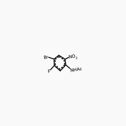 CC(=O)Nc1cc(F)c(Br)cc1[N+](=O)[O-]